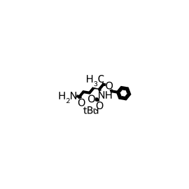 C[C@@H](OCc1ccccc1)[C@H](CCCC(N)=O)NC(=O)OC(C)(C)C